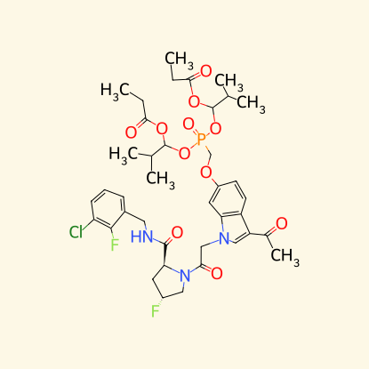 CCC(=O)OC(OP(=O)(COc1ccc2c(C(C)=O)cn(CC(=O)N3C[C@H](F)C[C@H]3C(=O)NCc3cccc(Cl)c3F)c2c1)OC(OC(=O)CC)C(C)C)C(C)C